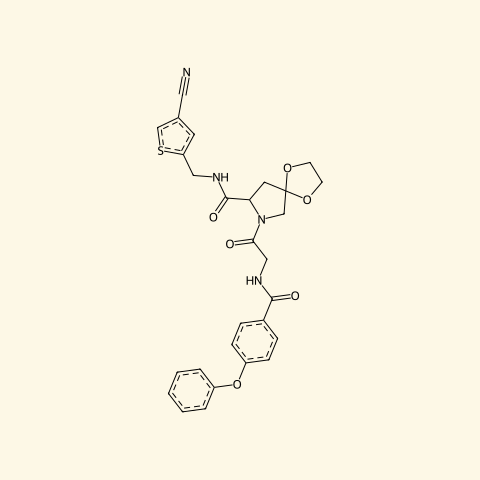 N#Cc1csc(CNC(=O)C2CC3(CN2C(=O)CNC(=O)c2ccc(Oc4ccccc4)cc2)OCCO3)c1